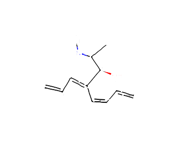 C=C/C=C\C(=C/C=C)[C@H](O)C(CC)NCC